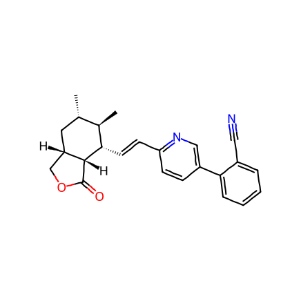 C[C@H]1[C@H](/C=C/c2ccc(-c3ccccc3C#N)cn2)[C@@H]2C(=O)OC[C@@H]2C[C@@H]1C